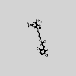 CN(C)c1nc(N)c2ncn(CCCCOC(=O)NCc3c(Cl)ccc(Cl)c3F)c2n1